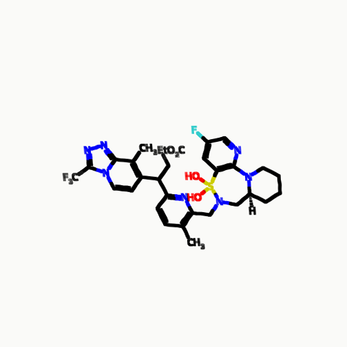 CCOC(=O)CC(c1ccc(C)c(CN2C[C@@H]3CCCCN3c3ncc(F)cc3S2(O)O)n1)c1ccn2c(C(F)(F)F)nnc2c1C